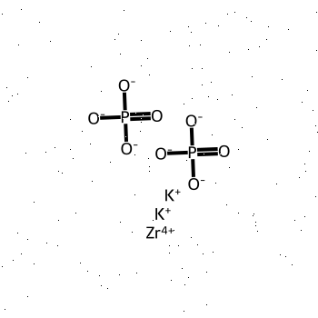 O=P([O-])([O-])[O-].O=P([O-])([O-])[O-].[K+].[K+].[Zr+4]